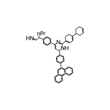 CCCC(C=N)c1ccc(C2=CC(c3ccc(-c4cc5ccccc5c5ccccc45)cc3)NC(C3=CC=C(C4CC=CCC4)CC3)=N2)cc1